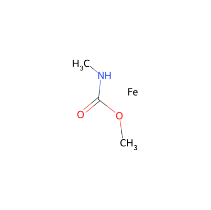 CNC(=O)OC.[Fe]